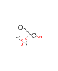 C=C(COC)C(=O)OCC(C)C.Oc1ccc(C=CC=Cc2ccccc2)cc1